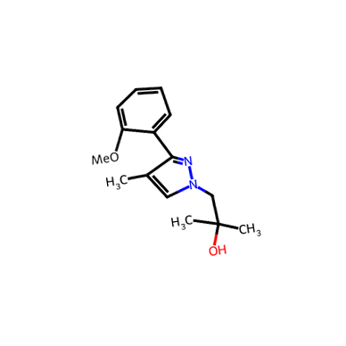 COc1ccccc1-c1nn(CC(C)(C)O)cc1C